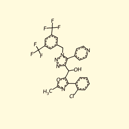 Cc1nc(-c2ccccc2Cl)c(C(O)c2nnn(Cc3cc(C(F)(F)F)cc(C(F)(F)F)c3)c2-c2ccncc2)o1